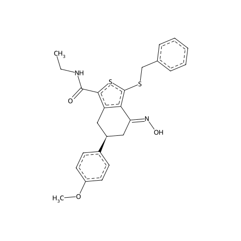 CCNC(=O)c1sc(SCc2ccccc2)c2c1C[C@H](c1ccc(OC)cc1)CC2=NO